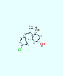 O=C(O)C(=Cc1ccc(Cl)cc1)c1ccc(O)cc1Br